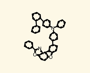 c1ccc(-c2nc3c(ccc4oc5ccc(-c6ccc(N(c7ccccc7)c7ccc(-c8ccccc8-c8ccccc8)cc7)cc6)cc5c43)o2)cc1